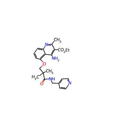 CCOC(=O)c1c(C)nc2cccc(OCC(C)(C)C(=O)NCc3ccncc3)c2c1N